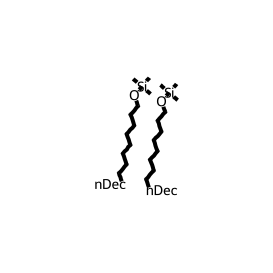 CCCCCCCCCCCCCCCCCCO[Si](C)(C)C.CCCCCCCCCCCCCCCCCCO[Si](C)(C)C